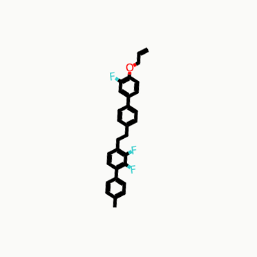 C=CCOc1ccc(-c2ccc(CCc3ccc(-c4ccc(C)cc4)c(F)c3F)cc2)cc1F